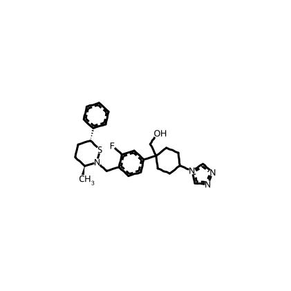 C[C@H]1CC[C@H](c2ccccc2)SN1Cc1ccc(C2(CO)CCC(n3cnnc3)CC2)cc1F